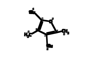 Cc1oc(C(C)(C)C)c(C)c1C(C)(C)C